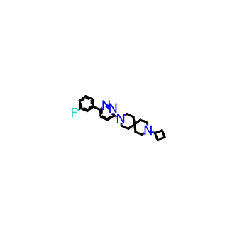 Fc1cccc(-c2ccc(N3CCC4(CC3)CCN(C3CCC3)CC4)nn2)c1